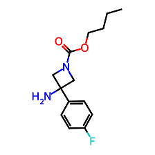 CCCCOC(=O)N1CC(N)(c2ccc(F)cc2)C1